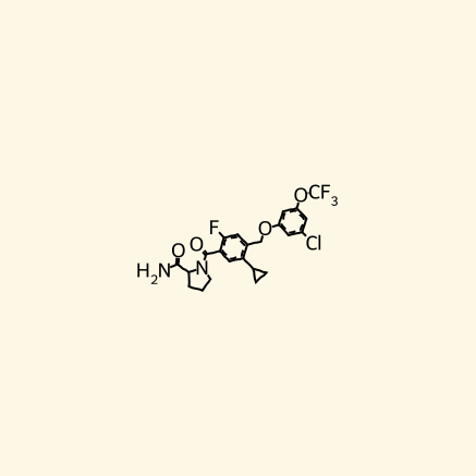 NC(=O)C1CCCN1C(=O)c1cc(C2CC2)c(COc2cc(Cl)cc(OC(F)(F)F)c2)cc1F